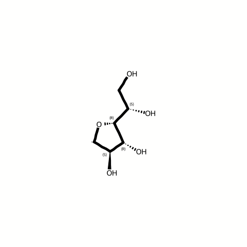 OC[C@H](O)[C@H]1O[CH][C@H](O)[C@H]1O